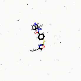 CC(=O)Nc1coc(Sc2ccc(C(=O)N[C@H]3CN4CCC3CC4)cc2)n1